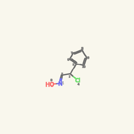 ON=CC(Cl)c1ccccc1